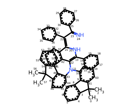 CC1(C)c2ccccc2-c2c(N(C3=C(c4ccccc4)N/C(=C(\C(=N)c4ccccc4)c4ccccc4)c4ccccc43)c3cccc4c3-c3ccccc3C4(C)C)cccc21